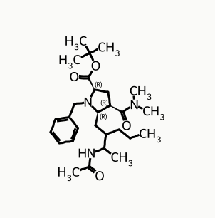 CCCC(C[C@@H]1[C@H](C(=O)N(C)C)C[C@H](C(=O)OC(C)(C)C)N1Cc1ccccc1)C(C)NC(C)=O